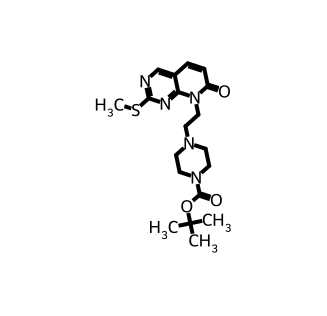 CSc1ncc2ccc(=O)n(CCN3CCN(C(=O)OC(C)(C)C)CC3)c2n1